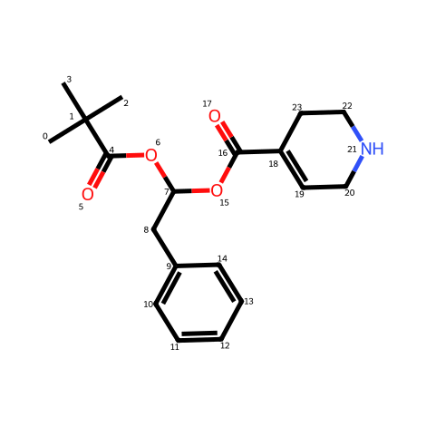 CC(C)(C)C(=O)OC(Cc1ccccc1)OC(=O)C1=CCNCC1